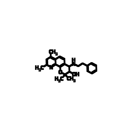 Cc1cc(C)c2ccc3c(c2n1)OC(C)(C)C(O)C3NCCc1ccccc1